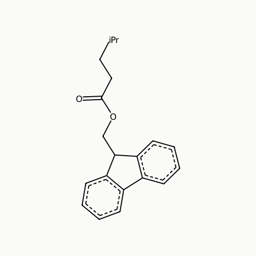 CC(C)CCC(=O)OCC1c2ccccc2-c2ccccc21